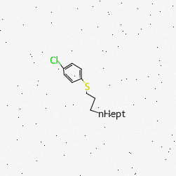 [CH2]CCCCCCCCCSc1ccc(Cl)cc1